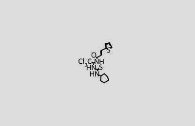 O=C(/C=C/c1cccs1)NC(NC(=S)NC1CCCCC1)C(Cl)(Cl)Cl